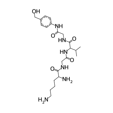 CC(C)C(NC(=O)CNC(=O)C(N)CCCCN)C(=O)NCC(=O)Nc1ccc(CO)cc1